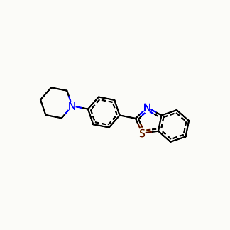 c1ccc2sc(-c3ccc(N4CCCCC4)cc3)nc2c1